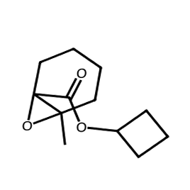 CC12CCCCC1(C(=O)OC1CCC1)O2